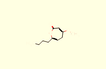 CCCCC1=CCC(OC)=CC(=O)O1